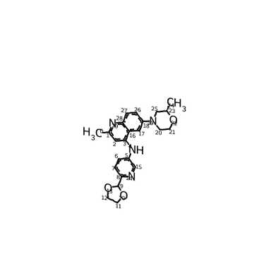 Cc1cc(Nc2ccc(C3OCCO3)nc2)c2cc(N3CCO[C@H](C)C3)ccc2n1